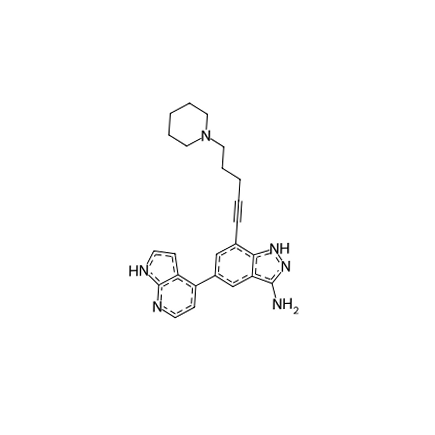 Nc1n[nH]c2c(C#CCCCN3CCCCC3)cc(-c3ccnc4[nH]ccc34)cc12